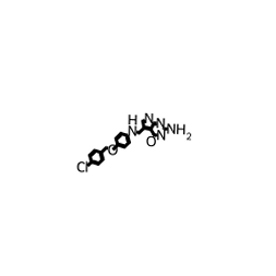 NC1=NC(=O)C2=C(CNc3ccc(OCc4ccc(Cl)cc4)cc3)C=NC2=N1